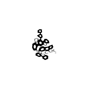 CC1(C)c2ccccc2-c2ccc(N(c3cccc(-c4ccccc4)c3)c3cccc4oc5c(-c6ccc(-c7ccccc7)cc6)c6c(cc5c34)oc3ccccc36)cc21